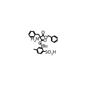 CC(C)(C)OC(=O)[C@](N)(Cc1ccccc1)C(=O)OCc1ccccc1.Cc1ccc(S(=O)(=O)O)cc1